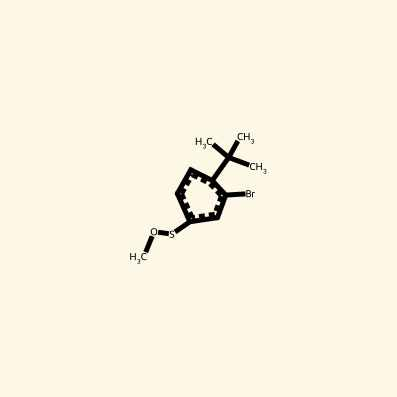 COSc1ccc(C(C)(C)C)c(Br)c1